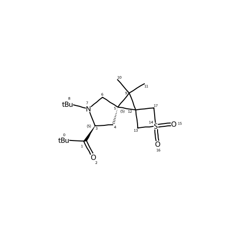 CC(C)(C)C(=O)[C@@H]1C[C@]2(CN1C(C)(C)C)C(C)(C)C21CS(=O)(=O)C1